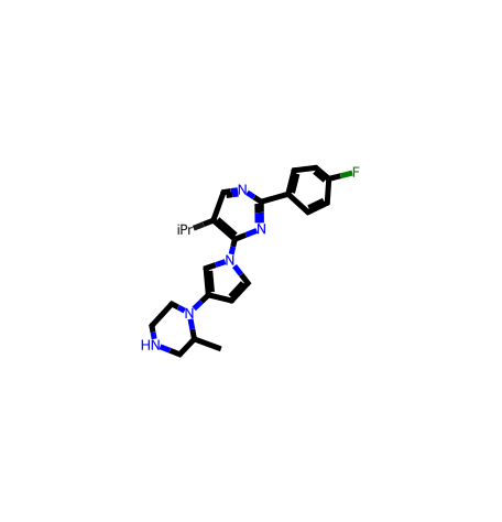 CC(C)c1cnc(-c2ccc(F)cc2)nc1-n1ccc(N2CCNCC2C)c1